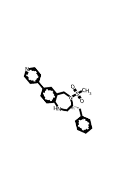 CS(=O)(=O)N1Cc2cc(-c3ccncc3)ccc2NC[C@H]1Cc1ccccc1